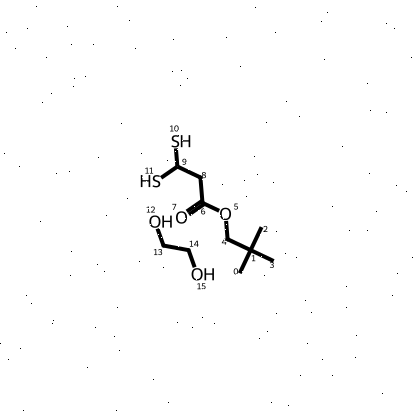 CC(C)(C)COC(=O)CC(S)S.OCCO